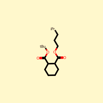 CC(C)CCCOC(=O)C1CCCCC1C(=O)OC(C)(C)C